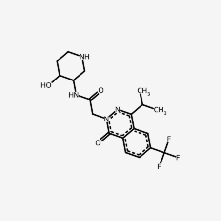 CC(C)c1nn(CC(=O)NC2CNCCC2O)c(=O)c2ccc(C(F)(F)F)cc12